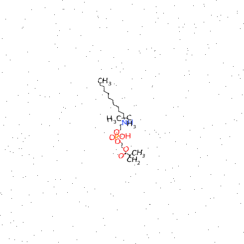 C=C(C)C(=O)OCCOP(=O)(O)OCCNC(C)(C)CCCCCCCCCCC